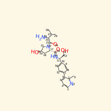 Cc1ncccc1-c1ccc([C@H](CO)NC(=O)[C@@H]2C[C@@H](O)CN2C(=O)[C@@H](N)C(C)C)cc1